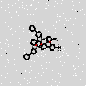 N#Cc1ccc(-n2c3ccccc3c3cc(-c4ccccc4)ccc32)c(-c2cc(-n3c4ccccc4c4cc(-c5ccccc5)ccc43)ccc2-c2ccc(C(F)(F)F)cc2C#N)c1